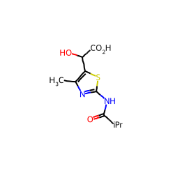 Cc1nc(NC(=O)C(C)C)sc1C(O)C(=O)O